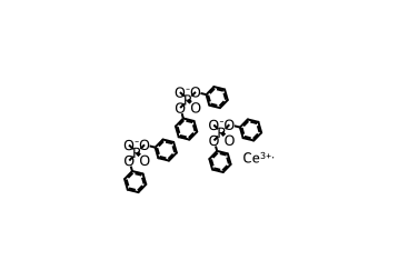 O=P([O-])(Oc1ccccc1)Oc1ccccc1.O=P([O-])(Oc1ccccc1)Oc1ccccc1.O=P([O-])(Oc1ccccc1)Oc1ccccc1.[Ce+3]